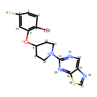 Fc1ccc(Br)c(OC2CCN(c3ncc4ncsc4n3)CC2)c1